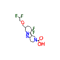 O=C(O)N1CCc2nn3c(c2C1)C(F)(F)CCC(COCC(F)F)C3